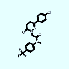 CN(C(=O)CN1N=C(c2ccc(Cl)cc2)CCC1=O)c1ccc(C(F)(F)F)cc1